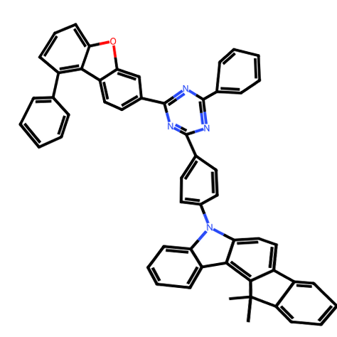 CC1(C)c2ccccc2-c2ccc3c(c21)c1ccccc1n3-c1ccc(-c2nc(-c3ccccc3)nc(-c3ccc4c(c3)oc3cccc(-c5ccccc5)c34)n2)cc1